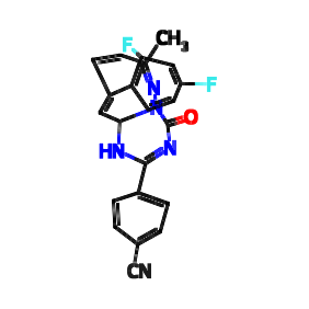 CC1=N/N2C(=O)N=C(c3ccc(C#N)cc3)NC2/C=C(c2ccc(F)cc2F)/C=C\1